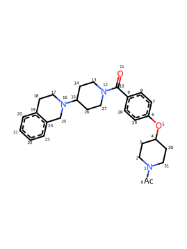 CC(=O)N1CCC(Oc2ccc(C(=O)N3CCC(N4CCc5ccccc5C4)CC3)cc2)CC1